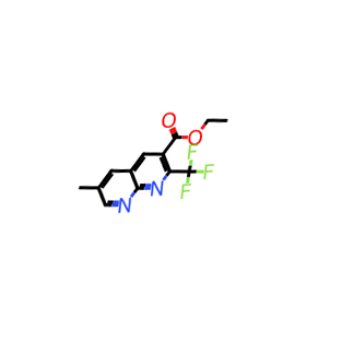 CCOC(=O)c1cc2cc(C)cnc2nc1C(F)(F)F